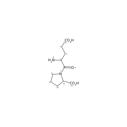 NC(CCC(=O)O)C(=O)N1CCCC1C(=O)O